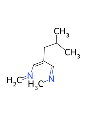 C=N/C=C(\C=N/C)CC(C)C